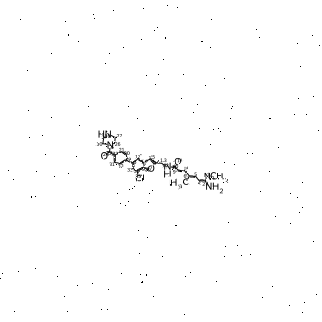 C=N\C(N)=C/C=C(C)/C=C/C(=O)NCc1cc2cc(-c3ccc(C(=O)N4CCNCC4)cc3)cc(Cl)c2o1